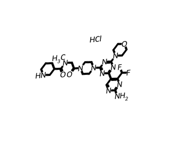 CN(CC(=O)N1CCN(c2nc(-c3cnc(N)nc3C(F)F)nc(N3CCOCC3)n2)CC1)C(=O)C1CCCNC1.Cl